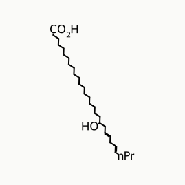 CCCC=CCC=CCC(O)CCCCCCCCCCCCCCCCCCC(=O)O